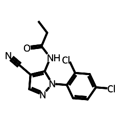 CCC(=O)Nc1c(C#N)cnn1-c1ccc(Cl)cc1Cl